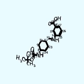 CC(C)(C)OC(=O)N[C@H]1CC[C@H](CNc2cccc(C(=O)O)c2)CC1